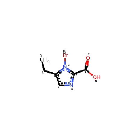 CCc1cnc(C(=O)O)n1Br